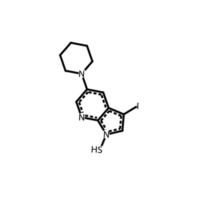 Sn1cc(I)c2cc(N3CCCCC3)cnc21